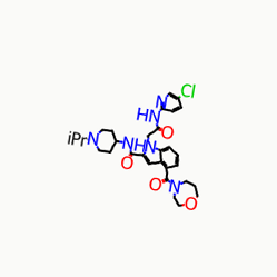 CC(C)N1CCC(NC(=O)c2cc3c(C(=O)N4CCCOCC4)cccc3n2CC(=O)Nc2ccc(Cl)cn2)CC1